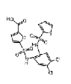 O=C(O)c1ccc(S(=O)(=O)Nc2cc(Cl)c(Cl)cc2NS(=O)(=O)c2cccs2)o1